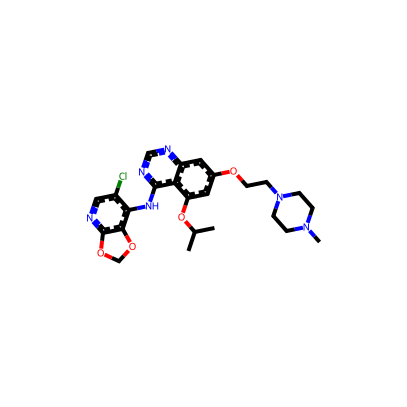 CC(C)Oc1cc(OCCN2CCN(C)CC2)cc2ncnc(Nc3c(Cl)cnc4c3OCO4)c12